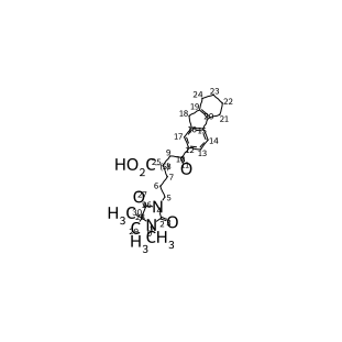 CN1C(=O)N(CCC[C@@H](CC(=O)c2ccc3c(c2)CC2=C3CCCC2)C(=O)O)C(=O)C1(C)C